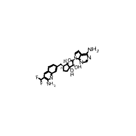 Nc1nc2cc(C[C@@H]3CC[C@@]4(O)[C@@H]3O[C@@H](n3ccc5c(N)ncnc53)[C@@H]4O)ccc2cc1C(F)F